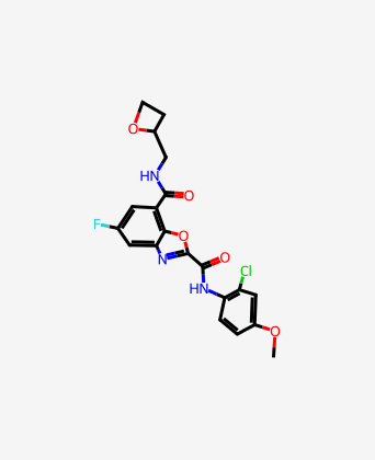 COc1ccc(NC(=O)c2nc3cc(F)cc(C(=O)NCC4CCO4)c3o2)c(Cl)c1